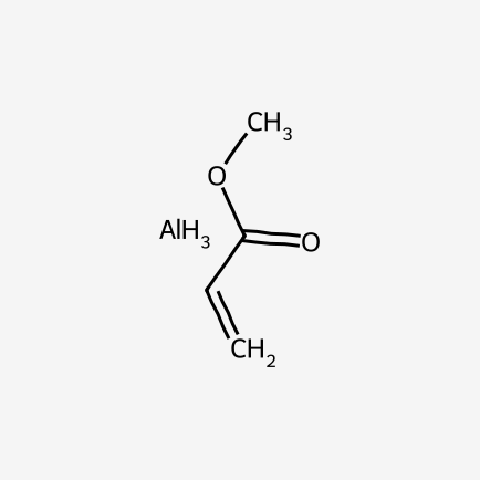 C=CC(=O)OC.[AlH3]